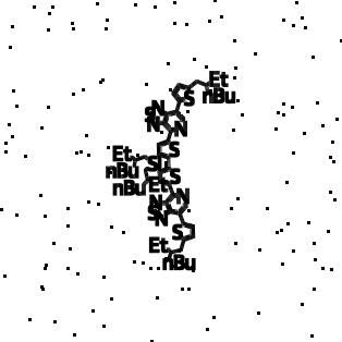 CCCCC(CC)Cc1ccc(-c2cnc(-c3cc4c(s3)-c3sc(-c5ncc(-c6ccc(CC(CC)CCCC)s6)c6nsnc56)cc3[Si]4(CC(CC)CCCC)CC(CC)CCCC)c3nsnc23)s1